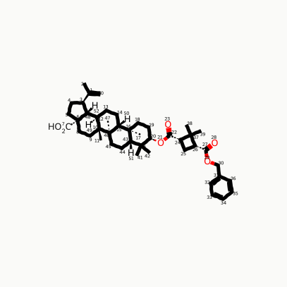 C=C(C)[C@@H]1CC[C@]2(C(=O)O)CC[C@]3(C)[C@H](CC[C@@H]4[C@@]5(C)CC[C@H](OC(=O)[C@H]6C[C@@H](C(=O)OCc7ccccc7)C6(C)C)C(C)(C)[C@@H]5CC[C@]43C)[C@@H]12